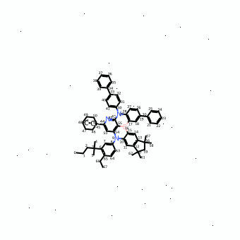 CCCC(C)(C)c1cc(N2c3cc4c(cc3B3c5cc(-c6ccccc6)ccc5N(c5ccc(-c6ccccc6)cc5)c5nc(C67CCC(CC6)CC7)cc2c53)C(C)(C)CC4(C)C)ccc1CC